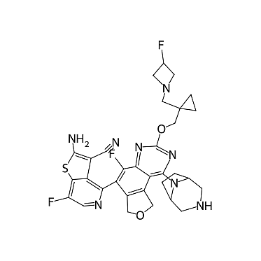 N#Cc1c(N)sc2c(F)cnc(-c3c4c(c5c(N6C7CCC6CNC7)nc(OCC6(CN7CC(F)C7)CC6)nc5c3F)COC4)c12